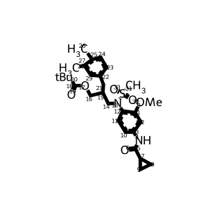 COc1cc(NC(=O)C2CC2)ccc1N(CC(COC(=O)C(C)(C)C)Cc1ccc(C)c(C)c1)S(C)(=O)=O